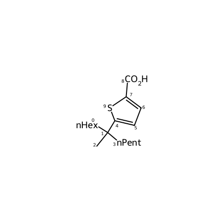 CCCCCCC(C)(CCCCC)c1ccc(C(=O)O)s1